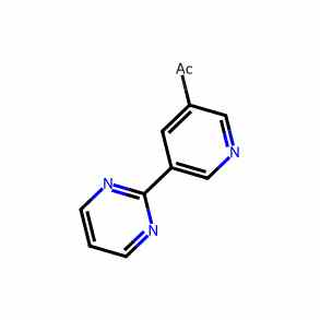 CC(=O)c1cncc(-c2ncccn2)c1